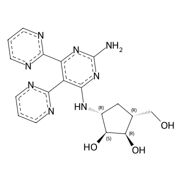 Nc1nc(N[C@@H]2C[C@H](CO)[C@@H](O)[C@H]2O)c(-c2ncccn2)c(-c2ncccn2)n1